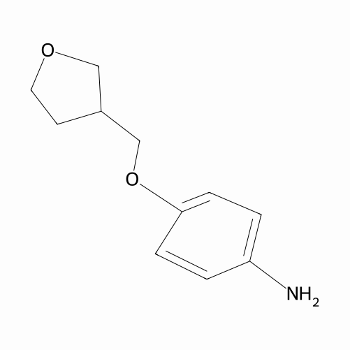 Nc1ccc(OCC2CCOC2)cc1